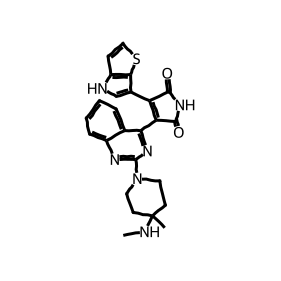 CNC1(C)CCN(c2nc(C3=C(c4c[nH]c5ccsc45)C(=O)NC3=O)c3ccccc3n2)CC1